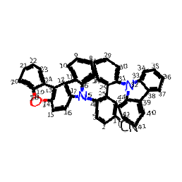 N#Cc1ccc(-n2c3ccccc3c3c4c(ccc32)oc2ccccc24)c(-c2ccccc2-n2c3ccccc3c3ccccc32)c1